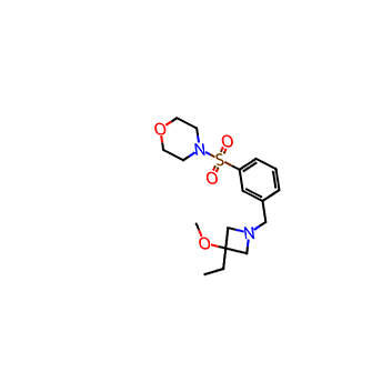 CCC1(OC)CN(Cc2cccc(S(=O)(=O)N3CCOCC3)c2)C1